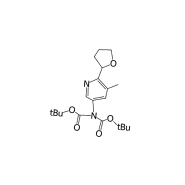 Cc1cc(N(C(=O)OC(C)(C)C)C(=O)OC(C)(C)C)cnc1C1CCCO1